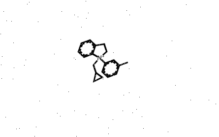 Cc1cccc([N+]2(CC3CC3)CCc3ccccc32)c1